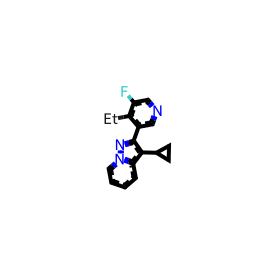 CCc1c(F)cncc1-c1nn2ccccc2c1C1CC1